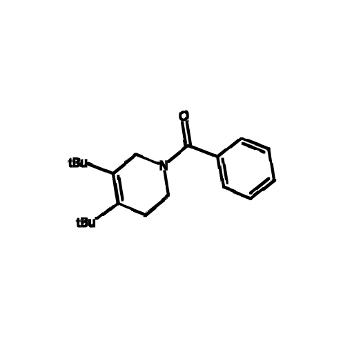 CC(C)(C)C1=C(C(C)(C)C)CN(C(=O)c2ccccc2)CC1